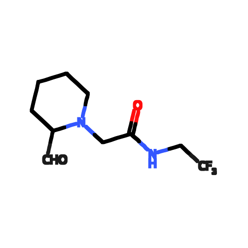 O=CC1CCCCN1CC(=O)NCC(F)(F)F